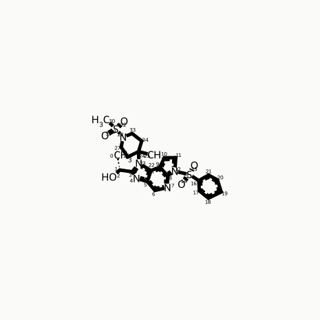 C[C@@H](O)c1nc2cnc3c(ccn3S(=O)(=O)c3ccccc3)c2n1C1(C)CCN(S(C)(=O)=O)CC1